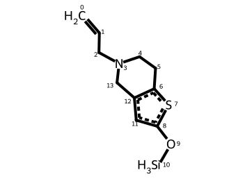 C=CCN1CCc2sc(O[SiH3])cc2C1